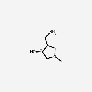 CN1CC(CN)[C@H](O)C1